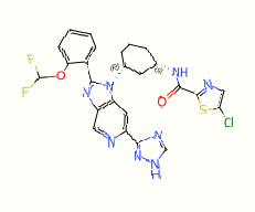 O=C(N[C@H]1CCC[C@@H](n2c(-c3ccccc3OC(F)F)nc3cnc(-c4nc[nH]n4)cc32)C1)c1ncc(Cl)s1